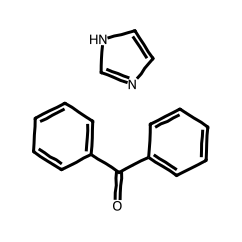 O=C(c1ccccc1)c1ccccc1.c1c[nH]cn1